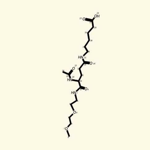 COCCOCCNC(=O)C(CCC(=O)NCCCCCC(=O)O)NC(C)=O